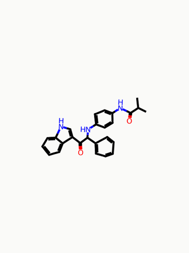 CC(C)C(=O)Nc1ccc(NC(C(=O)c2c[nH]c3ccccc23)c2ccccc2)cc1